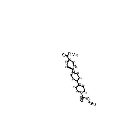 COC(=O)c1cnc(N2CCC(C3CCN(C(=O)OC(C)(C)C)CC3)CC2)cn1